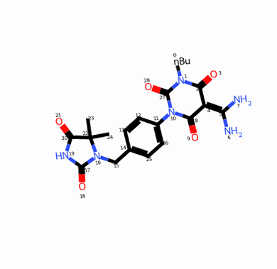 CCCCN1C(=O)C(=C(N)N)C(=O)N(c2ccc(CN3C(=O)NC(=O)C3(C)C)cc2)C1=O